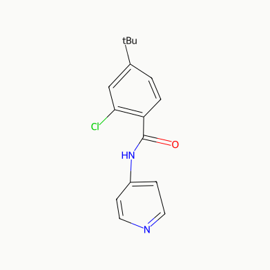 CC(C)(C)c1ccc(C(=O)Nc2ccncc2)c(Cl)c1